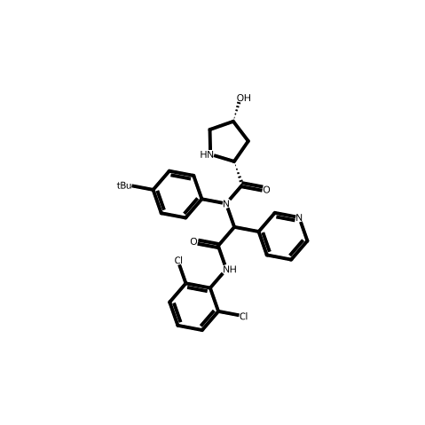 CC(C)(C)c1ccc(N(C(=O)[C@H]2C[C@@H](O)CN2)C(C(=O)Nc2c(Cl)cccc2Cl)c2cccnc2)cc1